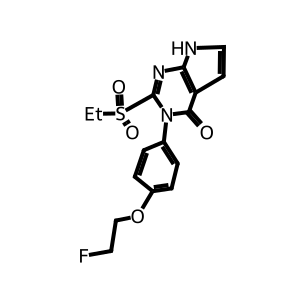 CCS(=O)(=O)c1nc2[nH]ccc2c(=O)n1-c1ccc(OCCF)cc1